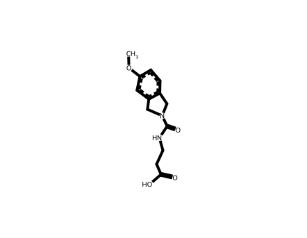 COc1ccc2c(c1)CN(C(=O)NCCC(=O)O)C2